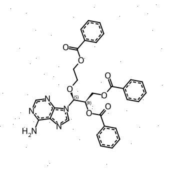 Nc1ncnc2c1ncn2[C@@H](OCCOC(=O)c1ccccc1)[C@@H](COC(=O)c1ccccc1)OC(=O)c1ccccc1